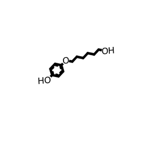 OCCCCCCOc1ccc(O)cc1